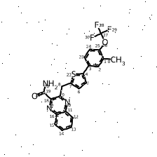 Cc1cc(-c2ccc(Cc3nc4ccccc4nc3C(N)=O)s2)ccc1OC(F)(F)F